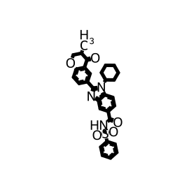 CC1COc2ccc(-c3nc4cc(C(=O)NS(=O)(=O)c5ccccc5)ccc4n3C3CCCCC3)cc2C1=O